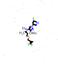 C=C(CCSCC1CC1(F)F)N(CC)c1cn(-c2cncc(F)c2)nc1OC